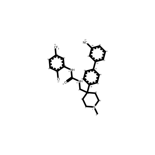 CN1CCC(CNC(=O)Nc2cc(C(F)(F)F)ccc2Cl)(c2ccc(-c3cccc(C#N)c3)cc2)CC1